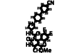 COC(=O)C1=C(C)NC(=O)N(C(=O)N[C@@H]2CCN(C3CCC(c4ccc(C#N)cc4)CC3)C2)[C@H]1c1ccc(F)c(F)c1